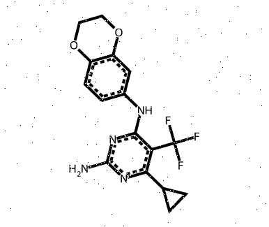 Nc1nc(Nc2ccc3c(c2)OCCO3)c(C(F)(F)F)c(C2CC2)n1